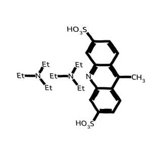 CCN(CC)CC.CCN(CC)CC.Cc1c2ccc(S(=O)(=O)O)cc2nc2cc(S(=O)(=O)O)ccc12